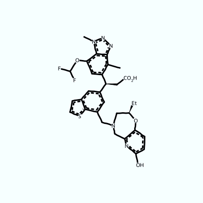 CC[C@@H]1CN(Cc2cc([C@H](CC(=O)O)c3cc(OC(F)F)c4c(nnn4C)c3C)cc3ccsc23)Cc2nc(O)ccc2O1